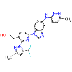 Cc1ccc(Nc2ccc3c(c2)ncn3-c2ccc(CCO)c(-n3nc(C)cc3C(F)F)n2)nn1